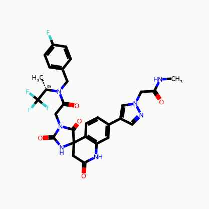 CNC(=O)Cn1cc(-c2ccc3c(c2)NC(=O)CC32NC(=O)N(CC(=O)N(Cc3ccc(F)cc3)[C@@H](C)C(F)(F)F)C2=O)cn1